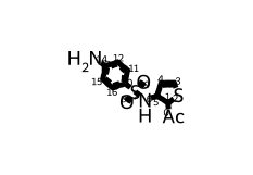 CC(=O)C1SC=CC1NS(=O)(=O)c1ccc(N)cc1